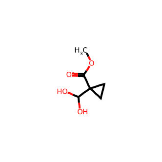 COC(=O)C1(C(O)O)CC1